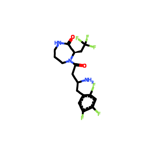 NC(CC(=O)N1CCCNC(=O)[C@H]1CC(F)(F)F)Cc1cc(F)c(F)cc1F